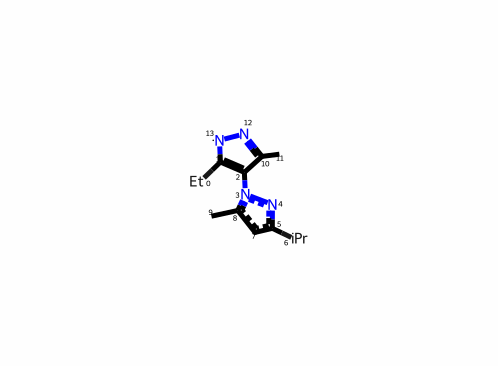 CCC1=C(n2nc(C(C)C)cc2C)C(C)=N[N]1